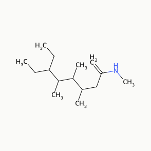 C=C(CC(C)C(C)C(C)C(CC)CC)NC